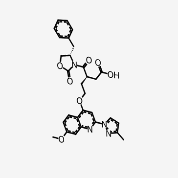 COc1ccc2c(OCC[C@H](CC(=O)O)C(=O)N3C(=O)OC[C@@H]3Cc3ccccc3)cc(-n3ccc(C)n3)nc2c1